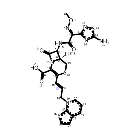 CON=C(C(=O)N[C@@H]1C(=O)N2C(C(=O)O)=C(/C=C/C[n+]3cccc4ccsc43)SC[C@H]12)c1nsc(N)n1